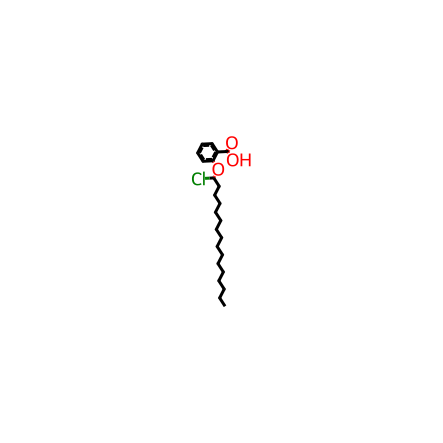 CCCCCCCCCCCCCCCC(Cl)Oc1ccccc1C(=O)O